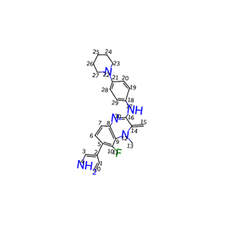 C=C/C(=C\N)c1ccc2c(c1F)N(C)C(=C)C(Nc1ccc(N3CCCCC3)cc1)=N2